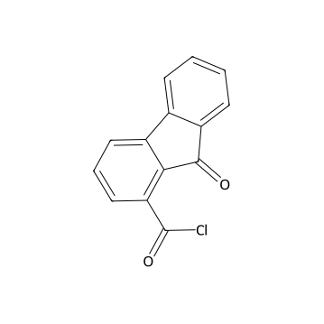 O=C(Cl)c1cccc2c1C(=O)c1ccccc1-2